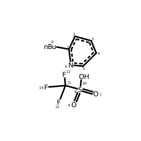 CCCCc1ccccn1.O=S(=O)(O)C(F)(F)F